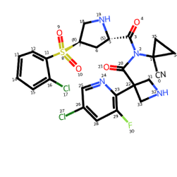 N#CC1(N(C(=O)[C@@H]2C[C@@H](S(=O)(=O)c3ccccc3Cl)CN2)C(=O)C2(c3ncc(Cl)cc3F)CNC2)CC1